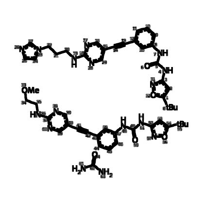 CC(C)(C)c1cc(NC(=O)Nc2cccc(C#Cc3cnc(NCCCn4ccnc4)nc3)c2)no1.COCCNc1ncc(C#Cc2cccc(NC(=O)Nc3cc(C(C)(C)C)on3)c2)cn1.NC(N)=O